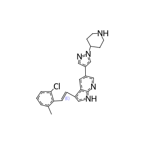 Cc1cccc(Cl)c1/C=C/c1c[nH]c2ncc(-c3cnn(C4CCNCC4)c3)cc12